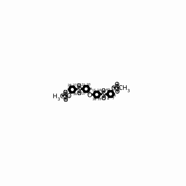 CS(=O)(=O)Oc1cccc(S(=O)(=O)c2ccc(Oc3cccc(S(=O)(=O)c4cccc(OS(C)(=O)=O)c4)c3)cc2)c1